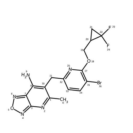 Cc1nc2nonc2c(N)c1Cc1ccc(Br)c(OCC2CC2(F)F)n1